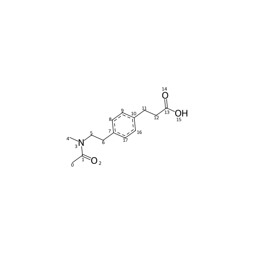 CC(=O)N(C)CCc1ccc(CCC(=O)O)cc1